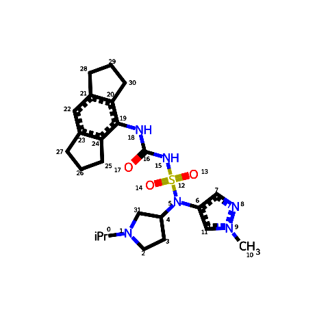 CC(C)N1CCC(N(c2cnn(C)c2)S(=O)(=O)NC(=O)Nc2c3c(cc4c2CCC4)CCC3)C1